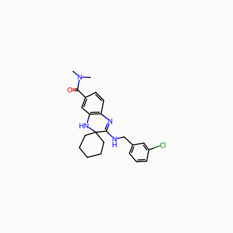 CN(C)C(=O)c1ccc2c(c1)NC1(CCCCC1)C(NCc1cccc(Cl)c1)=N2